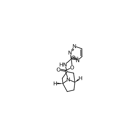 CC(C)(C)OC(=O)N1[C@@H]2CC[C@H]1CC(Nc1nccnn1)C2